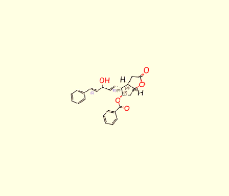 O=C1C[C@@H]2[C@@H](/C=C/C(O)/C=C/c3ccccc3)[C@H](OC(=O)c3ccccc3)C[C@@H]2O1